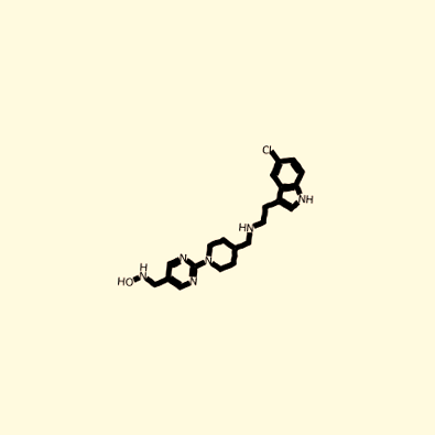 ONCc1cnc(N2CCC(CNCCc3c[nH]c4ccc(Cl)cc34)CC2)nc1